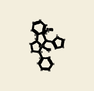 O=CCC(c1ccco1)[PH]1(O)N(c2ccccc2)CCN1c1ccccc1